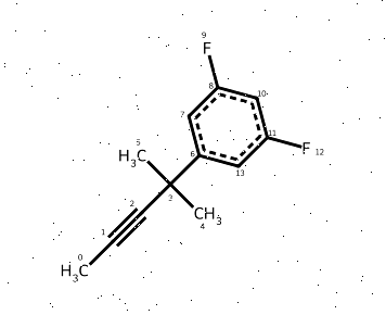 CC#CC(C)(C)c1cc(F)cc(F)c1